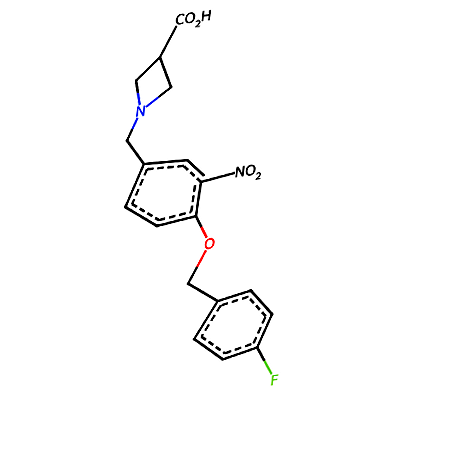 O=C(O)C1CN(Cc2ccc(OCc3ccc(F)cc3)c([N+](=O)[O-])c2)C1